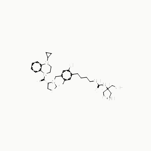 O=C(NCCCCc1cc(Cl)c(CN2CSC[C@H]2C(=O)N2CCN(C3CC3)c3ccccc32)cc1Cl)NC(CO)(CO)CO